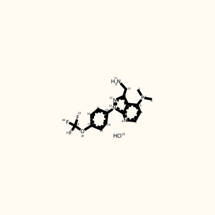 CP(C)c1ccnc2c1c(CN)nn2-c1ccc(OC(F)(F)F)cc1.Cl